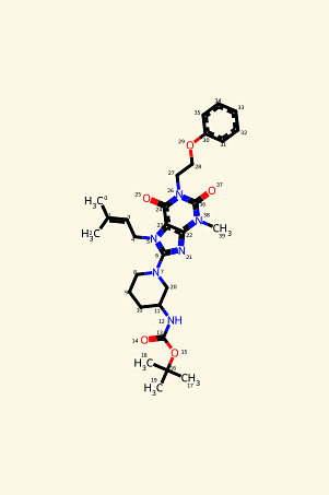 CC(C)=CCn1c(N2CCCC(NC(=O)OC(C)(C)C)C2)nc2c1c(=O)n(CCOc1ccccc1)c(=O)n2C